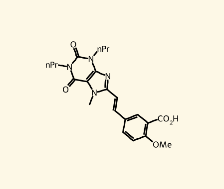 CCCn1c(=O)c2c(nc(C=Cc3ccc(OC)c(C(=O)O)c3)n2C)n(CCC)c1=O